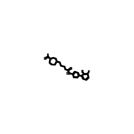 CC(=O)N1CCCN(CCCCC(=O)Nc2ccc(-c3cccc(F)c3F)cc2)CC1